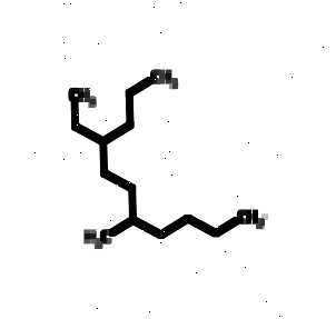 [CH2]CCCC(C)CCC(CC)CCC